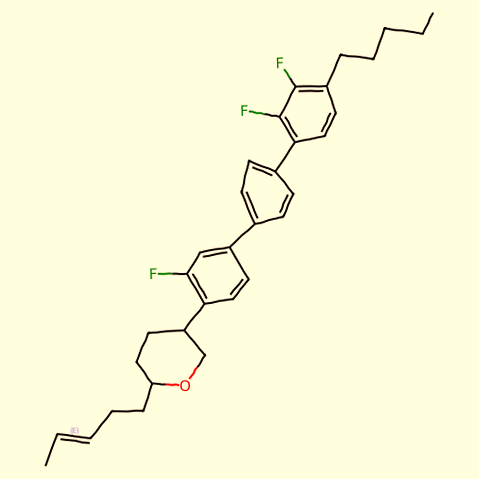 C/C=C/CCC1CCC(c2ccc(-c3ccc(-c4ccc(CCCCC)c(F)c4F)cc3)cc2F)CO1